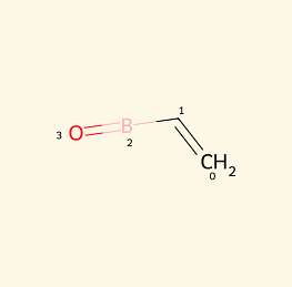 C=CB=O